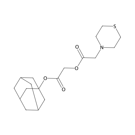 O=C(CN1CCSCC1)OCC(=O)OC12CC3CC(CC(C3)C1)C2